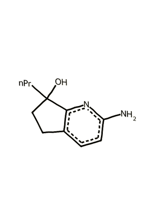 CCCC1(O)CCc2ccc(N)nc21